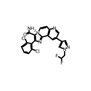 NC(=O)c1c(-c2c(Cl)cccc2Cl)nc2c3cc(-c4cnn(CC(F)F)c4)cnc3ccn12